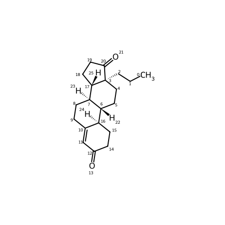 CCC[C@]12CC[C@H]3[C@@H](CCC4=CC(=O)CC[C@@H]43)[C@@H]1CCC2=O